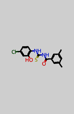 Cc1cc(C)cc(C(=O)NC(=S)Nc2ccc(Cl)cc2O)c1